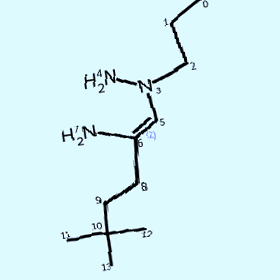 CCCN(N)/C=C(\N)CCC(C)(C)C